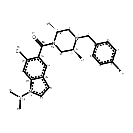 C[C@@H]1CN(Cc2ccc(F)cc2)[C@@H](C)CN1C(=O)c1cc2ccn(N(C)C)c2cc1Cl